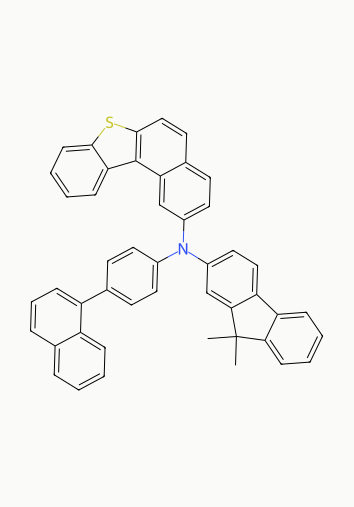 CC1(C)c2ccccc2-c2ccc(N(c3ccc(-c4cccc5ccccc45)cc3)c3ccc4ccc5sc6ccccc6c5c4c3)cc21